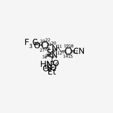 CCS(=O)(=O)NC(=O)c1nc(N(CCc2ccc(C#N)cc2)Cc2ccc(OC(F)(F)F)cc2)sc1C